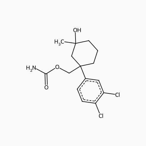 CC1(O)CCCC(COC(N)=O)(c2ccc(Cl)c(Cl)c2)C1